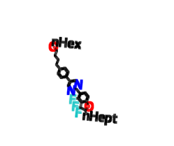 CCCCCCCC1Oc2ccc(-c3ncc(-c4ccc(CCCCOCCCCCC)cc4)cn3)c(F)c2C1(F)F